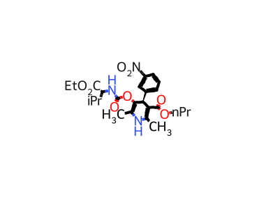 CCCOC(=O)C1=C(C)NC(C)=C(OC(=O)N[C@H](C(=O)OCC)C(C)C)[C@H]1c1cccc([N+](=O)[O-])c1